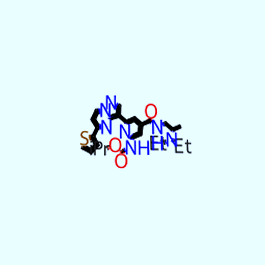 CCN(CC)C(C)CNC(=O)c1cc(NC(=O)OC(C)C)nc(-c2cnn3ccc(-c4cccs4)nc23)c1